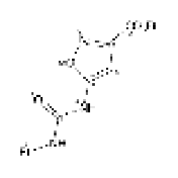 CCNC(=O)Nc1cc(C(=O)OCC)no1